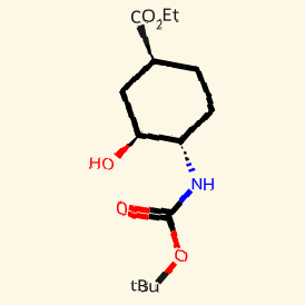 CCOC(=O)[C@H]1CC[C@H](NC(=O)OC(C)(C)C)[C@@H](O)C1